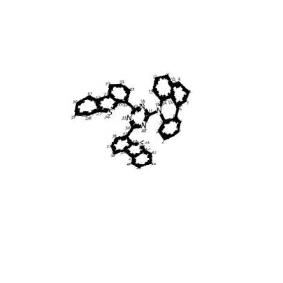 c1ccc2c(c1)-c1cccc3cccc(c13)N2c1nc(-c2cccc3c2sc2ccccc23)nc(-c2cccc3c2sc2ccccc23)n1